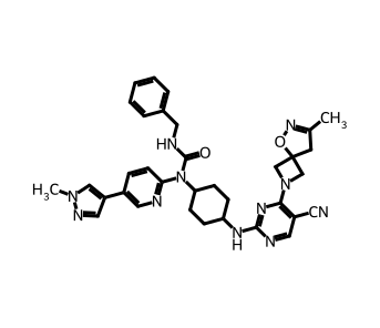 CC1=NOC2(C1)CN(c1nc(NC3CCC(N(C(=O)NCc4ccccc4)c4ccc(-c5cnn(C)c5)cn4)CC3)ncc1C#N)C2